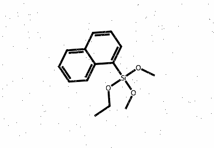 CCO[Si](OC)(OC)c1cccc2ccccc12